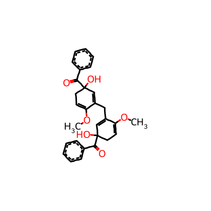 COC1=CCC(O)(C(=O)c2ccccc2)C=C1CC1=CC(O)(C(=O)c2ccccc2)CC=C1OC